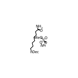 CCCCCCCCCCCCCCCCCC(N)=O.CCCOS(=O)(=O)OC